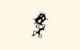 COC(=O)C1COC2(O1)C1CC3CC(C1)CC2C3